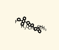 CC1(C)c2ccccc2-c2ccc(-c3ccc4c(c3)C(C)(C)c3cc(-c5c6ccccc6c(-c6cccc(F)c6)c6ccccc56)ccc3-4)cc21